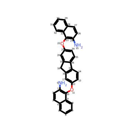 Nc1ccc2ccccc2c1Oc1ccc2c(c1)Cc1cc(Oc3c(N)ccc4ccccc34)ccc1-2